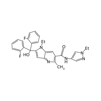 CCn1cc(NC(=O)c2cc3c(cc(C(O)(c4ccccc4F)c4ccccc4F)n3CC)nc2C)cn1